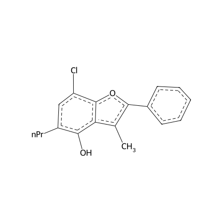 CCCc1cc(Cl)c2oc(-c3ccccc3)c(C)c2c1O